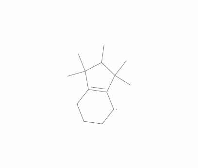 CC1C(C)(C)C2=C(CCC[CH]2)C1(C)C